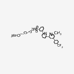 COCCOCCOCCNS(=O)(=O)c1cccc(-c2cccc(-c3cc(-c4ccc(C(F)(F)F)cc4)cc(C)n3)n2)c1